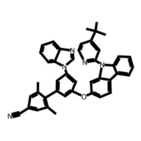 Cc1cc(C#N)cc(C)c1-c1cc(Oc2ccc3c4ccccc4n(-c4cc(C(C)(C)C)ccn4)c3c2)cc(-n2cnc3ccccc32)c1